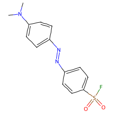 CN(C)c1ccc(N=Nc2ccc(S(=O)(=O)F)cc2)cc1